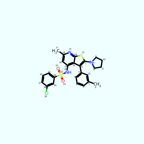 Cc1cccc(-c2c(N3CCCC3)sc3nc(C)cc(NS(=O)(=O)c4cccc(Cl)c4)c23)c1